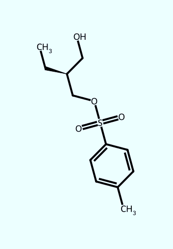 CC[C@@H](CO)COS(=O)(=O)c1ccc(C)cc1